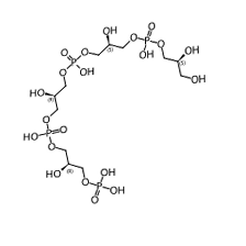 O=P(O)(O)OC[C@@H](O)COP(=O)(O)OC[C@@H](O)COP(=O)(O)OC[C@@H](O)COP(=O)(O)OC[C@@H](O)CO